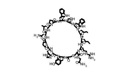 CCCC[C@H]1C(=O)N(C)[C@@H](CCCC)C(=O)N[C@@H](CCCNC(=N)N)C(=O)NC(C(=O)NCC(N)=O)CSCC(=O)N[C@@H](Cc2ccc(O)cc2)C(=O)N(C)[C@@H](C)C(=O)N[C@@H](Cc2cnc[nH]2)C(=O)N2CCC[C@H]2C(=O)N[C@@H](CC(N)=O)C(=O)N[C@@H](CC(C)C)C(=O)N2CCC[C@H]2C(=O)N[C@@H](Cc2c[nH]c3ccccc23)C(=O)N[C@@H](CO)C(=O)N[C@@H](Cc2c[nH]c3ccccc23)C(=O)N1C